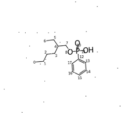 CCCCC(CC)COP(=O)(O)c1ccccc1